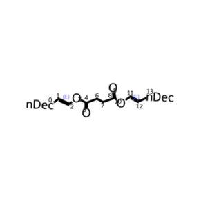 CCCCCCCCCC/C=C/OC(=O)CCC(=O)O/C=C/CCCCCCCCCC